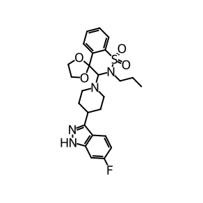 CCCN1C(N2CCC(c3n[nH]c4cc(F)ccc34)CC2)C2(OCCO2)c2ccccc2S1(=O)=O